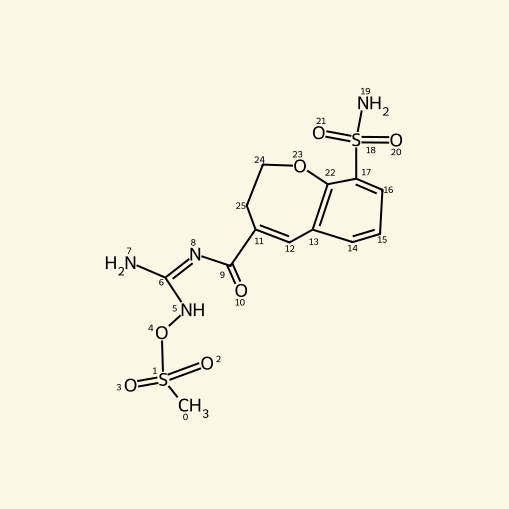 CS(=O)(=O)ONC(N)=NC(=O)C1=Cc2cccc(S(N)(=O)=O)c2OCC1